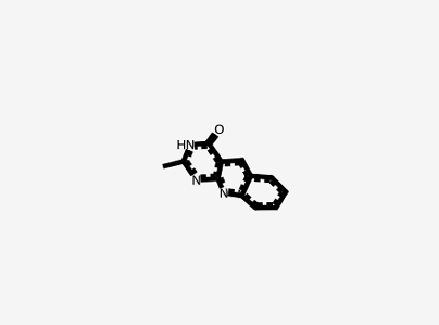 Cc1nc2nc3ccccc3cc2c(=O)[nH]1